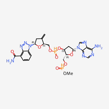 C=C1C[C@H](n2nnc3c(C(N)=O)cccc32)O[C@@H]1CO[PH](=O)O[C@H]1C[C@H](n2cnc3c(N)ncnc32)O[C@@H]1CO[PH](=O)OC